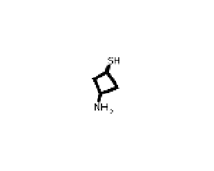 NC1CC(S)C1